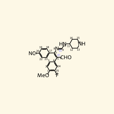 COc1ccc(/C(C=O)=C(/N=C/NC2CCNCC2)c2ccc(C#N)cc2)cc1F